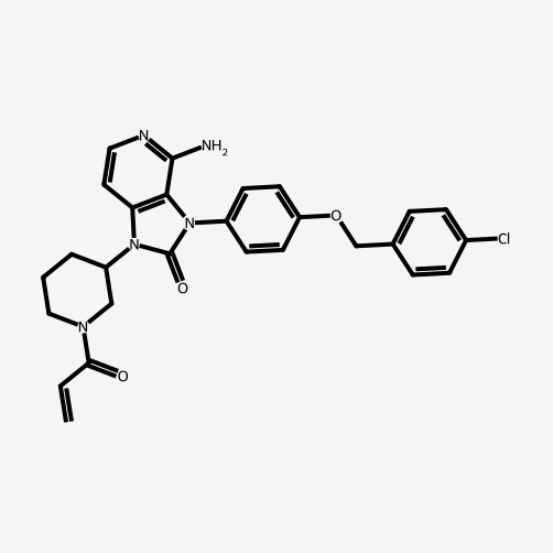 C=CC(=O)N1CCCC(n2c(=O)n(-c3ccc(OCc4ccc(Cl)cc4)cc3)c3c(N)nccc32)C1